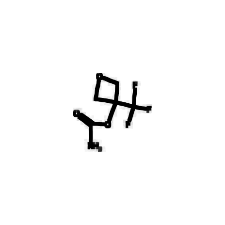 NC(=O)OC1(C(F)(F)F)COC1